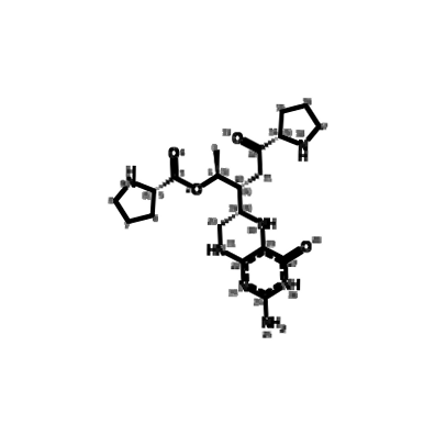 C[C@H](OC(=O)[C@@H]1CCCN1)[C@H](CC(=O)[C@@H]1CCCN1)[C@H]1CNc2nc(N)[nH]c(=O)c2N1